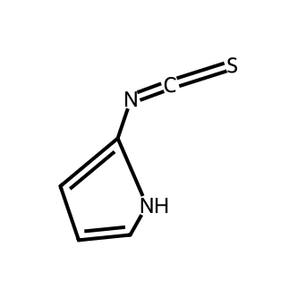 S=C=Nc1ccc[nH]1